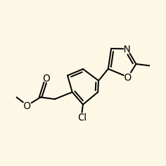 COC(=O)Cc1ccc(-c2cnc(C)o2)cc1Cl